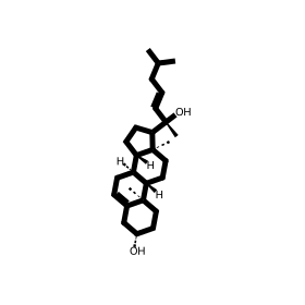 CC(C)CC=C[C@](C)(O)C1CC[C@H]2[C@@H]3CC=C4C[C@@H](O)CC[C@]4(C)[C@H]3CC[C@]12C